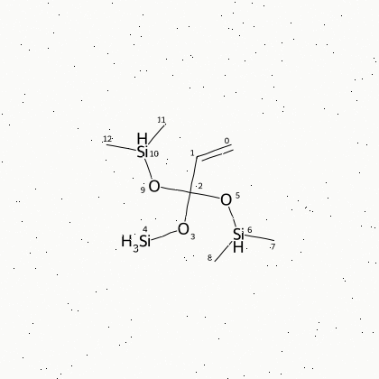 C=CC(O[SiH3])(O[SiH](C)C)O[SiH](C)C